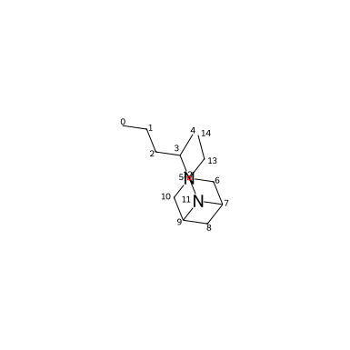 CCCC(C)N1CC2CC(C1)N2CCC